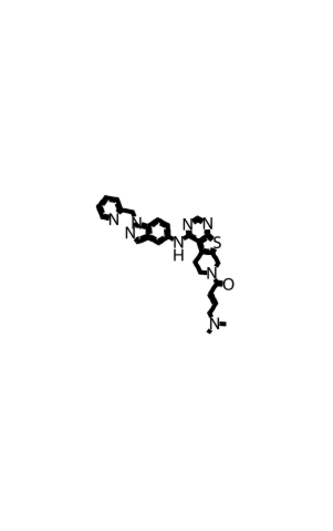 CN(C)CC=CC(=O)N1CCc2c(sc3ncnc(Nc4ccc5c(cnn5Cc5ccccn5)c4)c23)C1